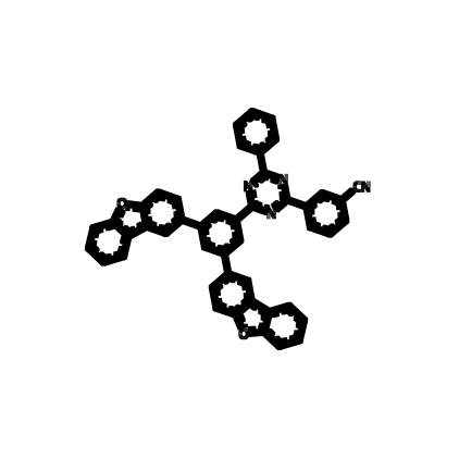 N#Cc1cccc(-c2nc(-c3ccccc3)nc(-c3cc(-c4ccc5oc6ccccc6c5c4)cc(-c4ccc5oc6ccccc6c5c4)c3)n2)c1